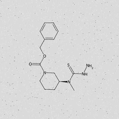 CN(C(=S)NN)[C@H]1CCCN(C(=O)OCc2ccccc2)C1